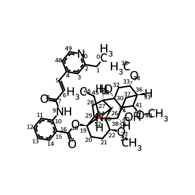 CCc1cc(/C=C/C(=O)Nc2ccccc2C(=O)O[C@@]23CC[C@H](OC)[C@]45C([C@@H](C[C@H]24)[C@@]2(O)C[C@H](OC)[C@H]4C[C@@H]5[C@]2(O)C4OC)N(CC)C3)ccn1